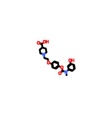 CN(C(=O)Oc1ccc(OCCN2CCC(C(=O)O)CC2)cc1)c1cccc(O)c1